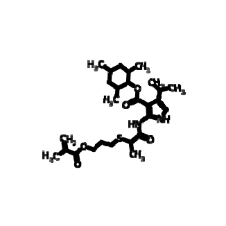 C=C(C)C(=O)OCCCSC(C)C(=O)Nc1[nH]cc(C(C)C)c1C(=O)OC1C(C)CC(C)CC1C